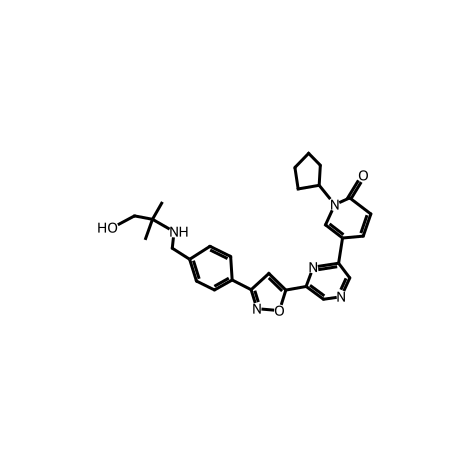 CC(C)(CO)NCc1ccc(-c2cc(-c3cncc(-c4ccc(=O)n(C5CCCC5)c4)n3)on2)cc1